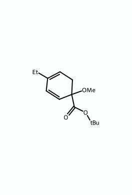 CCC1=CCC(OC)(C(=O)OC(C)(C)C)C=C1